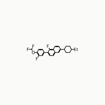 CCC1CCC(c2ccc3c(F)c(-c4ccc(OC(F)F)c(F)c4)ccc3c2)CC1